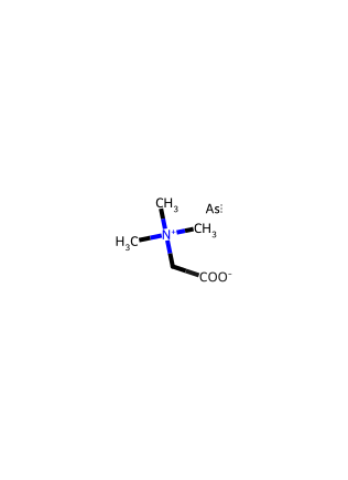 C[N+](C)(C)CC(=O)[O-].[As]